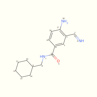 N=Cc1cc(C(=O)NCC2CCCCC2)ccc1N